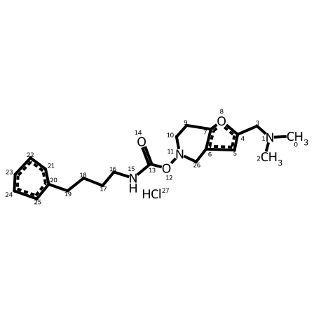 CN(C)Cc1cc2c(o1)CCN(OC(=O)NCCCCc1ccccc1)C2.Cl